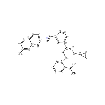 O=C(O)c1ccccc1OCC(OCC1CC1)c1cccc(/C=C/c2ccc3ccc(Cl)cc3n2)c1